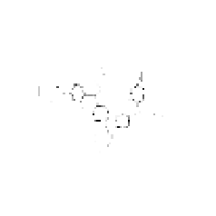 CCCCCC(c1ccc(C2(c3ccc(C(CCCCC)c4ccc(N)cc4C)cc3)CCC(C)CC2)cc1)c1ccc(N)cc1C